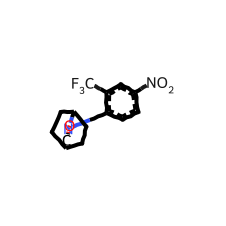 O=[N+]([O-])c1ccc(N2OCC3CCC2CC3)c(C(F)(F)F)c1